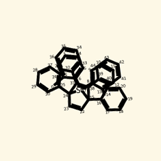 Cc1ccccc1[Si]1(c2ccccc2C)C2(c3ccccc3)C=CC1(c1ccccc1)C(c1ccccc1)=C2c1ccccc1